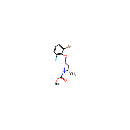 C[C@@H](CCOc1c(F)cccc1Br)NC(=O)OC(C)(C)C